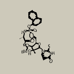 C[C@H](NP(=O)(OC[C@H]1O[C@@H](n2ccc(=O)[nH]c2=S)[C@](C)(O)C1O)Oc1cccc2ccccc12)C(=O)OCC(C)(C)C